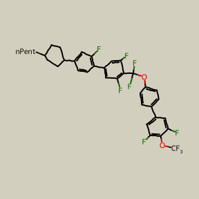 CCCCCC1CCC(c2ccc(-c3cc(F)c(C(F)(F)Oc4ccc(-c5cc(F)c(OC(F)(F)F)c(F)c5)cc4)c(F)c3)c(F)c2)CC1